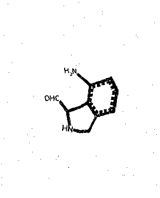 Nc1cccc2c1C(C=O)NC2